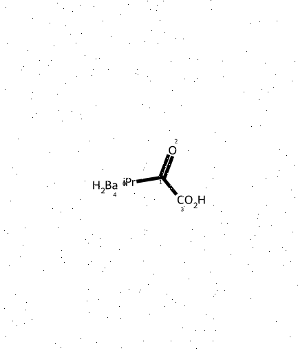 CC(C)C(=O)C(=O)O.[BaH2]